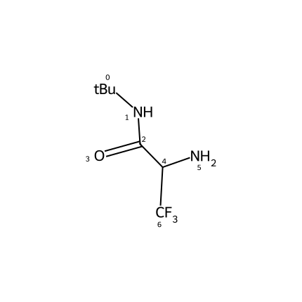 CC(C)(C)NC(=O)C(N)C(F)(F)F